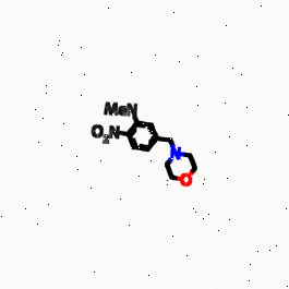 CNc1cc(CN2CCOCC2)ccc1[N+](=O)[O-]